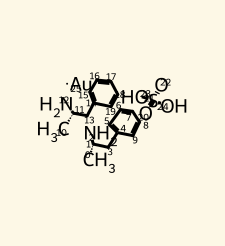 C[C@H](N)Cc1ccccc1.C[C@H](N)Cc1ccccc1.O=S(=O)(O)O.[Au]